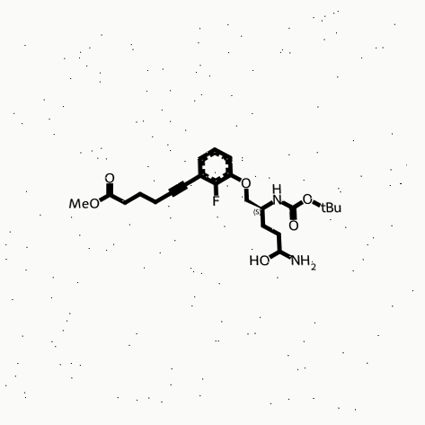 COC(=O)CCCC#Cc1cccc(OC[C@H](CCC(N)O)NC(=O)OC(C)(C)C)c1F